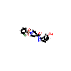 O=C(NC1C2CC3CC1CC(O)(C3)C2)C1CCN(S(=O)(=O)c2ccccc2Cl)CC1